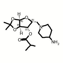 CC(C)C(=O)O[C@@H]1[C@H]2OC(C)(C)O[C@H]2O[C@@H]1CN1CCC(N)CC1